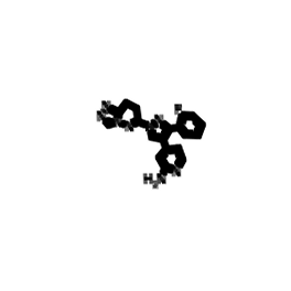 Nc1cc(-c2cn(C3=Nn4cnnc4CC3)nc2-c2ccccc2F)ccn1